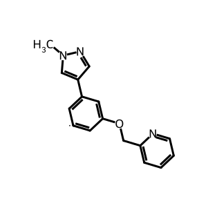 Cn1cc(-c2c[c]cc(OCc3ccccn3)c2)cn1